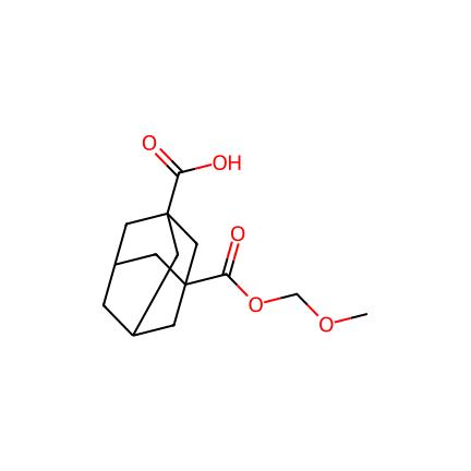 COCOC(=O)C12CC3CC(CC(C(=O)O)(C3)C1)C2